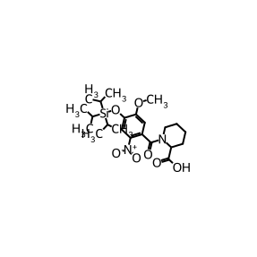 COc1cc(C(=O)N2CCCCC2C(=O)O)c([N+](=O)[O-])cc1O[Si](C(C)C)(C(C)C)C(C)C